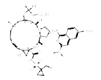 COc1ccc2c(O[C@@H]3C[C@H]4C(=O)N[C@]5(C(=O)NS(=O)(=O)C6(CF)CC6)C[C@H]5C=CCC[C@@H](C)C[C@@H](C)[C@H](N(C(=O)O)C(C)(C)C(F)(F)F)C(=O)N4C3)nc(N(C)C)cc2c1